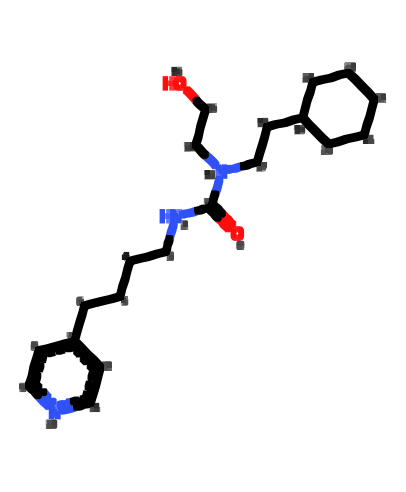 O=C(NCCCCc1ccncc1)N(CCO)CCC1CCCCC1